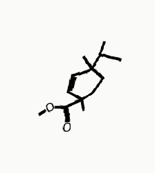 COC(=O)C1(C)C=CC(C)(C(C)C)CC1